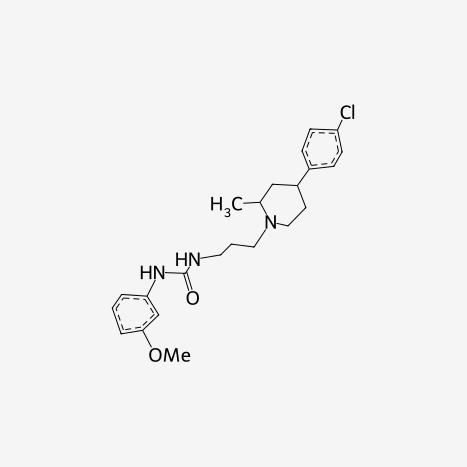 COc1cccc(NC(=O)NCCCN2CCC(c3ccc(Cl)cc3)CC2C)c1